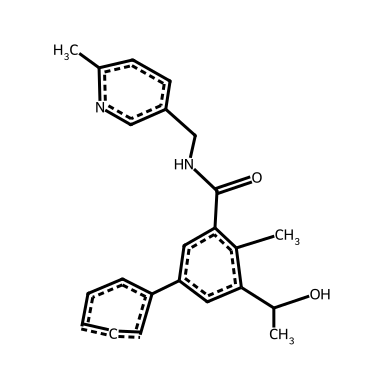 Cc1ccc(CNC(=O)c2cc(-c3ccccc3)cc(C(C)O)c2C)cn1